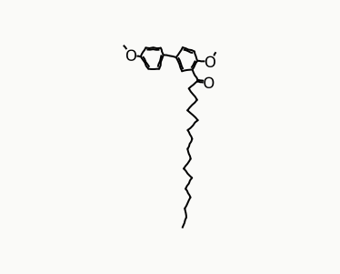 CCCCCCCCCCCCCCCC(=O)c1cc(-c2ccc(OC)cc2)ccc1OC